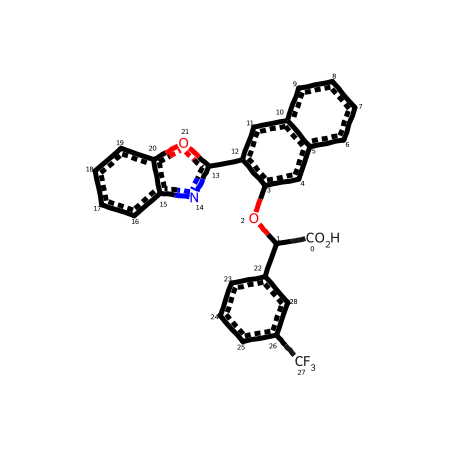 O=C(O)C(Oc1cc2ccccc2cc1-c1nc2ccccc2o1)c1cccc(C(F)(F)F)c1